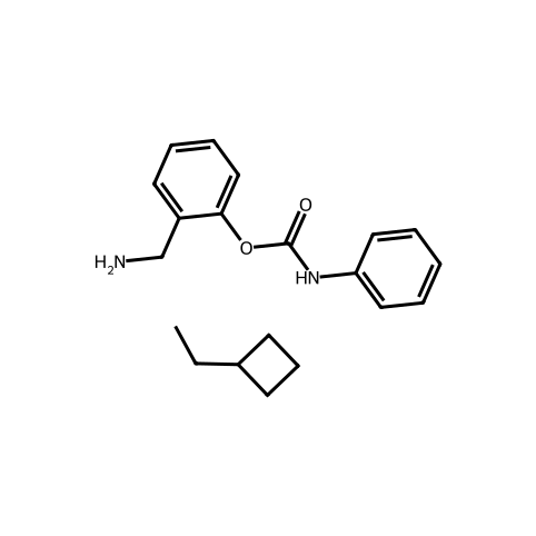 CCC1CCC1.NCc1ccccc1OC(=O)Nc1ccccc1